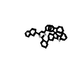 c1ccc(-c2cc(-c3ccc4ccccc4c3)nc(-c3ccccc3-c3ccc4c(c3)-c3sc5ccccc5c3C43c4ccccc4-c4ccccc43)n2)cc1